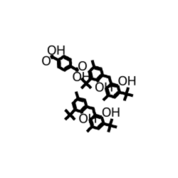 Cc1cc(Cc2cc(C)cc(C(C)(C)C)c2O)c(O)c(C(C)(C)C)c1.Cc1cc(Cc2cc(C)cc(C(C)(C)C)c2O)c(O)c(C(C)(C)C)c1.O=C(O)c1ccc(C(=O)O)cc1